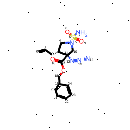 C=CC[C@@H]1CN(S(N)(=O)=O)C[C@]1(N=[N+]=[N-])C(=O)OCc1ccccc1